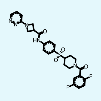 O=C(Nc1ccc(S(=O)(=O)C2CCN(C(=O)c3cc(F)ccc3F)CC2)cc1)C1CN(c2cccnn2)C1